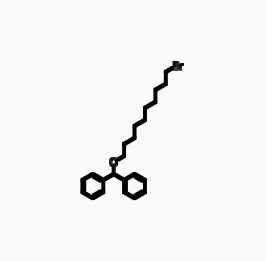 BrCCCCCCCCCCOC(c1ccccc1)c1ccccc1